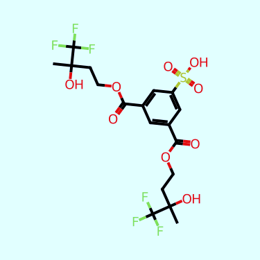 CC(O)(CCOC(=O)c1cc(C(=O)OCCC(C)(O)C(F)(F)F)cc(S(=O)(=O)O)c1)C(F)(F)F